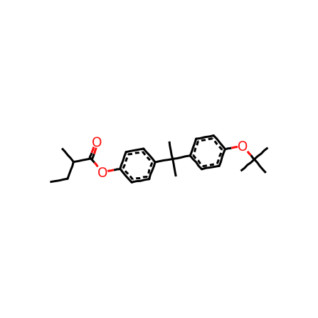 CCC(C)C(=O)Oc1ccc(C(C)(C)c2ccc(OC(C)(C)C)cc2)cc1